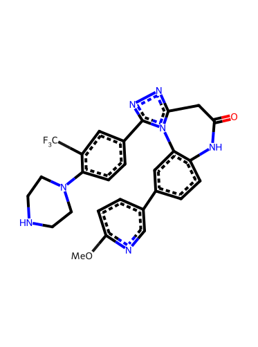 COc1ccc(-c2ccc3c(c2)-n2c(nnc2-c2ccc(N4CCNCC4)c(C(F)(F)F)c2)CC(=O)N3)cn1